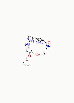 CC1CCNC(=O)c2ccc(c(N)c2)-c2ccnc(n2)Nc2ccc(OCC3CCCCC3)c(c2)COC1